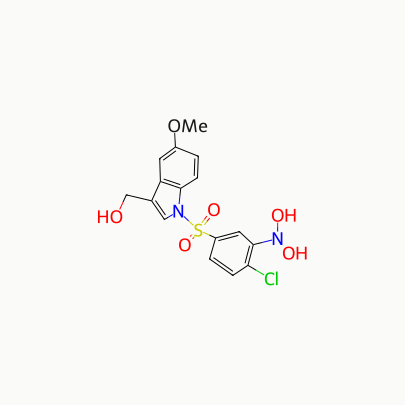 COc1ccc2c(c1)c(CO)cn2S(=O)(=O)c1ccc(Cl)c(N(O)O)c1